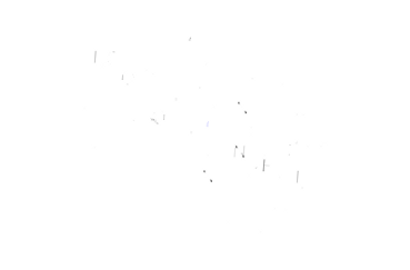 COc1cccc(/C=C/c2nc3ccccc3n2-c2ncccc2C(F)(F)F)c1OC1CCCC1